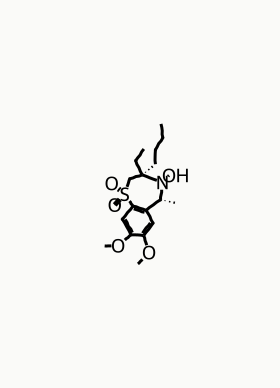 CCCC[C@@]1(CC)CS(=O)(=O)c2cc(OC)c(OC)cc2[C@@H](C)N1O